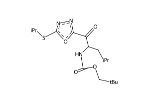 CC(C)CC(NC(=O)OCC(C)(C)C)C(=O)c1nnc(SC(C)C)o1